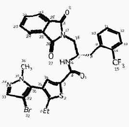 CCc1sc(C(=O)N[C@@H](Cc2ccccc2C(F)(F)F)CN2C(=O)c3ccccc3C2=O)cc1-c1c(Br)cnn1C